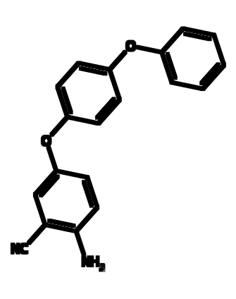 N#Cc1cc(Oc2ccc(Oc3ccccc3)cc2)ccc1N